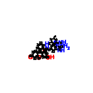 CC1CC(C)CN(C(=N)N(C(=N)N)c2ccc(CNC(=O)c3ccccc3-c3c4ccc(=O)cc-4oc4cc(O)ccc34)cc2)C1